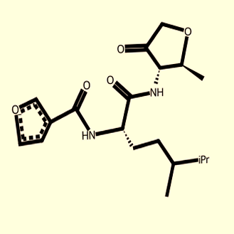 CC(C)C(C)CC[C@H](NC(=O)c1ccoc1)C(=O)N[C@@H]1C(=O)CO[C@H]1C